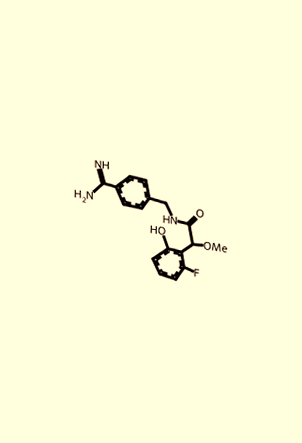 COC(C(=O)NCc1ccc(C(=N)N)cc1)c1c(O)cccc1F